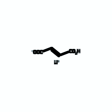 O=C([O-])C=CC(=O)O.[Li+]